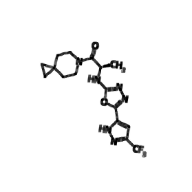 C[C@@H](Nc1nnc(-c2cc(C(F)(F)F)n[nH]2)o1)C(=O)N1CCC2(CC1)CC2